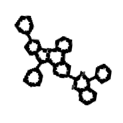 c1ccc(-c2ccc3c(-c4ccccc4)c4c5ccc(-c6nc(-c7ccccc7)c7ccccc7n6)cc5c5ccccc5n4c3c2)cc1